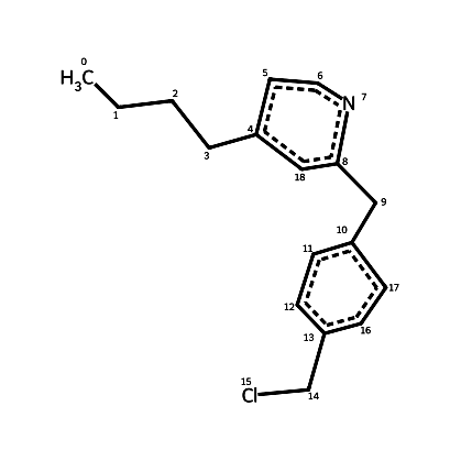 CCCCc1ccnc(Cc2ccc(CCl)cc2)c1